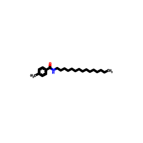 [CH2]c1ccc(C(=O)NCCCCCCCCCCCCCCC)cc1